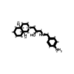 Nc1ccc(CNC[C@@H](O)CN2CC[C@@H]3CCCC[C@@H]3C2)cc1